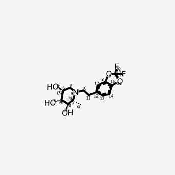 C[C@@H]1[C@@H](O)[C@H](O)[C@@H](O)CN1CCc1ccc2c(c1)OC(F)(F)O2